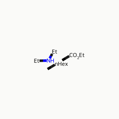 CCCCCCC.CCNCC.CCOC(C)=O